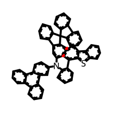 c1ccc(N(c2ccc3c(c2)-c2ccccc2C32c3ccccc3-c3ccccc32)c2ccc3c4ccccc4c4ccccc4c3c2)c(-c2cccc3c2sc2ccccc23)c1